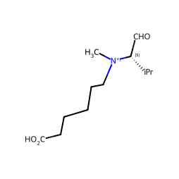 CC(C)[C@@H](C=O)[N+](C)CCCCCC(=O)O